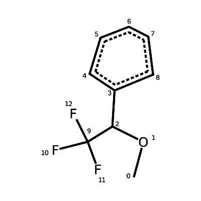 COC(c1ccccc1)C(F)(F)F